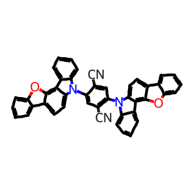 N#Cc1cc(-n2c3ccccc3c3c4oc5ccccc5c4ccc32)c(C#N)cc1-n1c2ccccc2c2c3oc4ccccc4c3ccc21